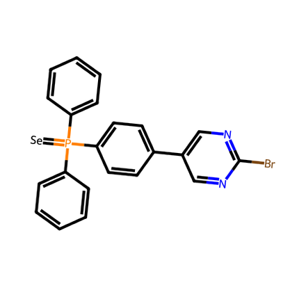 [Se]=P(c1ccccc1)(c1ccccc1)c1ccc(-c2cnc(Br)nc2)cc1